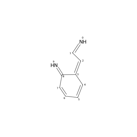 N=C/C=C1/C=CC=CC1=N